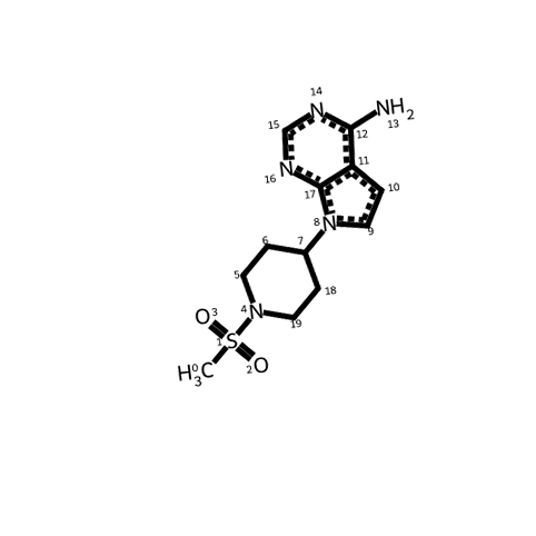 CS(=O)(=O)N1CCC(n2ccc3c(N)ncnc32)CC1